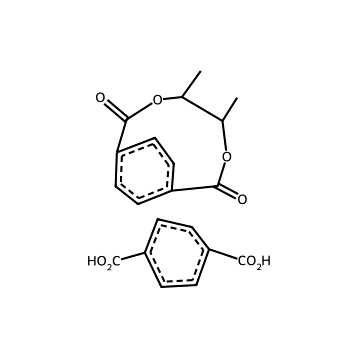 CC1OC(=O)c2ccc(cc2)C(=O)OC1C.O=C(O)c1ccc(C(=O)O)cc1